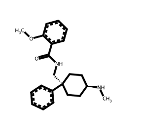 CN[C@H]1CC[C@@](CNC(=O)c2ccccc2OC)(c2ccccc2)CC1